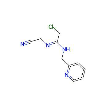 N#CCN=C(CCl)NCc1ccccn1